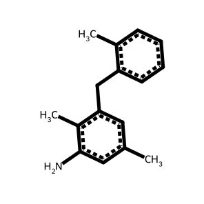 Cc1cc(N)c(C)c(Cc2ccccc2C)c1